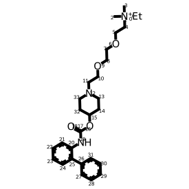 CC[N+](C)(C)CCOCCOCCN1CCC(OC(=O)Nc2ccccc2-c2ccccc2)CC1